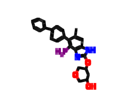 Cc1cc2[nH]c(OC3COCC(O)C3)nc2c(P)c1-c1ccc(-c2ccccc2)cc1